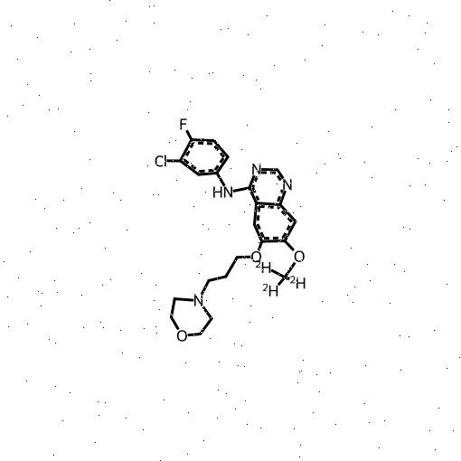 [2H]C([2H])([2H])Oc1cc2ncnc(Nc3ccc(F)c(Cl)c3)c2cc1OCCCN1CCOCC1